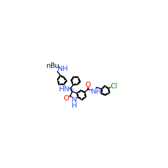 CCCCNCc1ccc(N/C(=C2\C(=O)Nc3ccc(C(=O)NCc4cccc(Cl)c4)cc32)c2ccccc2)cc1